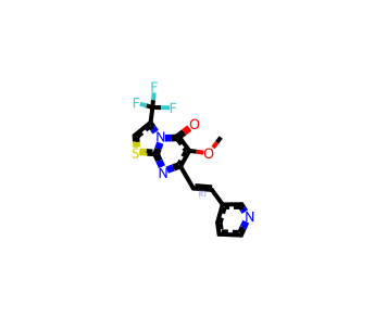 COc1c(/C=C/c2cccnc2)nc2scc(C(F)(F)F)n2c1=O